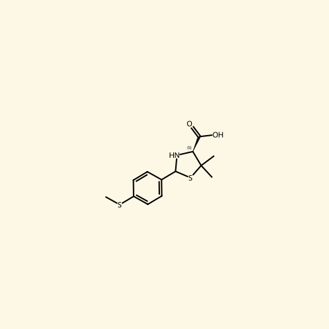 CSc1ccc(C2N[C@@H](C(=O)O)C(C)(C)S2)cc1